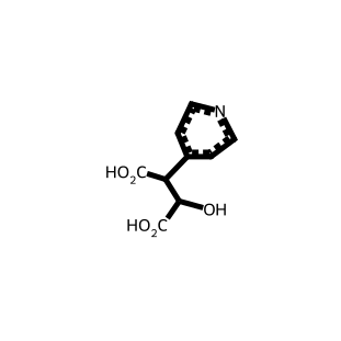 O=C(O)C(O)C(C(=O)O)c1ccncc1